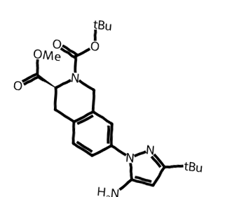 COC(=O)[C@@H]1Cc2ccc(-n3nc(C(C)(C)C)cc3N)cc2CN1C(=O)OC(C)(C)C